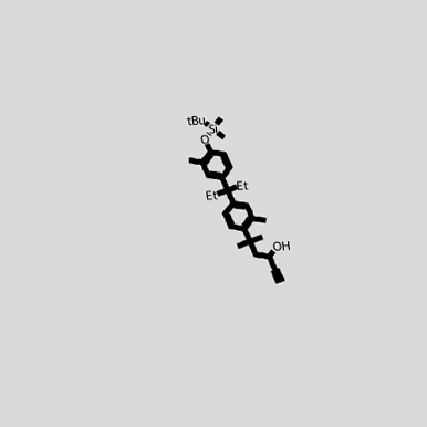 C#CC(O)CC(C)(C)c1ccc(C(CC)(CC)c2ccc(O[Si](C)(C)C(C)(C)C)c(C)c2)cc1C